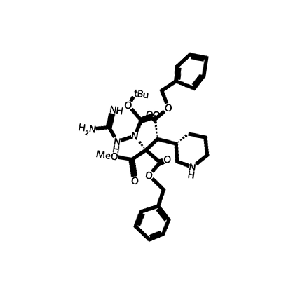 COC(=O)[C@](C(=O)OCc1ccccc1)([C@H](C(=O)OCc1ccccc1)[C@@H]1CCCNC1)N(NC(=N)N)C(=O)OC(C)(C)C